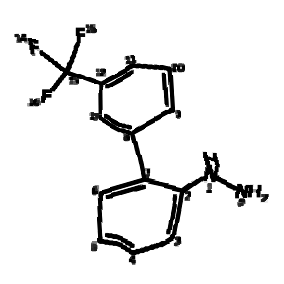 NNc1ccccc1-c1cccc(C(F)(F)F)c1